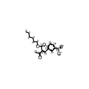 CCCCCCOC(=O)C(=Cc1cccc([N+](=O)[O-])c1)C(C)=O